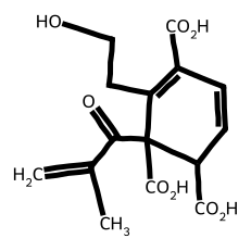 C=C(C)C(=O)C1(C(=O)O)C(CCO)=C(C(=O)O)C=CC1C(=O)O